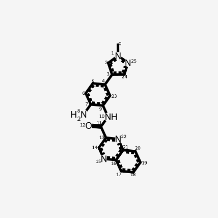 Cn1cc(-c2ccc(N)c(NC(=O)c3cnc4ccccc4n3)c2)cn1